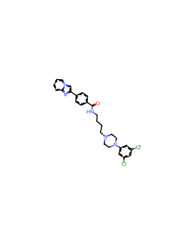 O=C(NCCCCN1CCN(c2cc(Cl)cc(Cl)c2)CC1)c1ccc(-c2cn3ccccc3n2)cc1